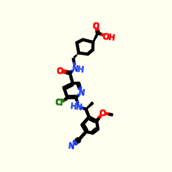 COc1ccc(C#N)cc1[C@H](C)Nc1ncc(C(=O)NC[C@H]2CC[C@H](C(=O)O)CC2)cc1Cl